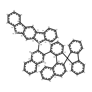 c1ccc2c(c1)-c1ccccc1C21c2cccc(-c3nc4ccccc4nc3-n3c4ccccc4c4cc5c(cc43)sc3ccccc35)c2-c2c1ccc1ccccc21